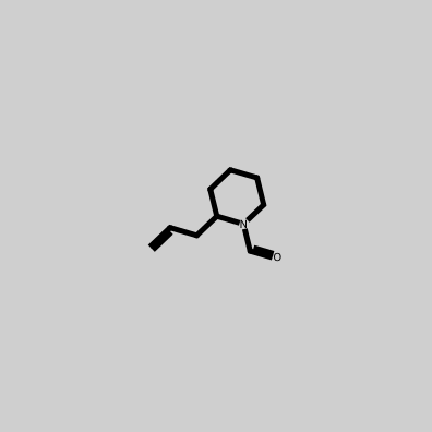 C=CCC1CCCCN1C=O